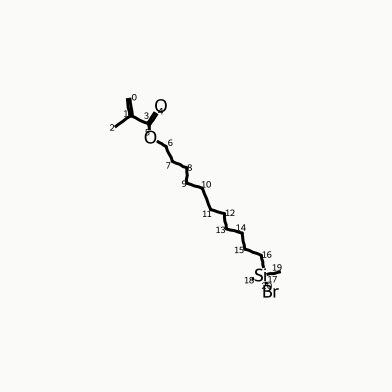 C=C(C)C(=O)OCCCCCCCCCCC[Si](C)(C)Br